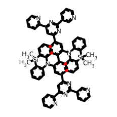 C[Si]1(C)c2ccccc2N(c2cc(-c3cc(-c4ccccn4)nc(-c4cccnc4)n3)ccc2-c2ccc(-c3cc(-c4ccccn4)nc(-c4cccnc4)n3)cc2N2c3ccccc3[Si](C)(C)c3ccccc32)c2ccccc21